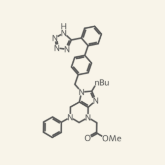 CCCCc1nc2c(n1Cc1ccc(-c3ccccc3-c3nnn[nH]3)cc1)CN(c1ccccc1)CN2CC(=O)OC